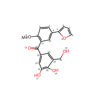 COc1ccc(-c2ccco2)cc1C(=O)c1cc(O)c(O)c(CO)c1